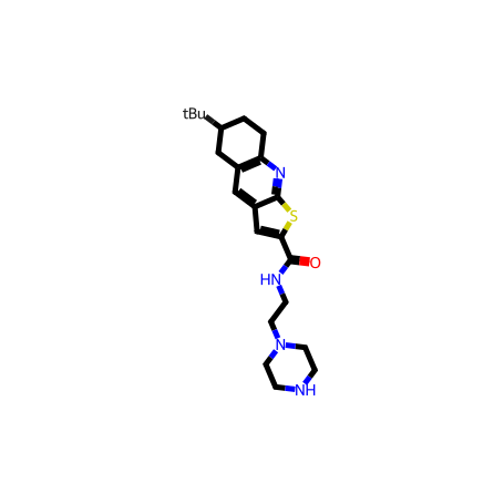 CC(C)(C)C1CCc2nc3sc(C(=O)NCCN4CCNCC4)cc3cc2C1